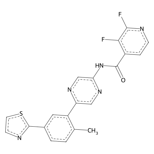 Cc1ccc(-c2nccs2)cc1-c1cnc(NC(=O)c2ccnc(F)c2F)cn1